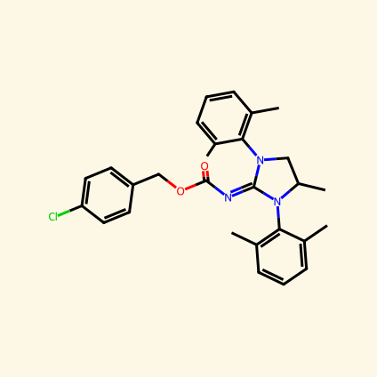 Cc1cccc(C)c1N1CC(C)N(c2c(C)cccc2C)C1=NC(=O)OCc1ccc(Cl)cc1